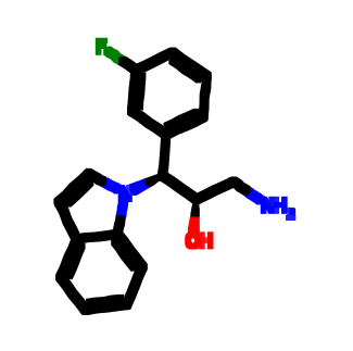 NC[C@@H](O)[C@H](c1cccc(F)c1)n1ccc2ccccc21